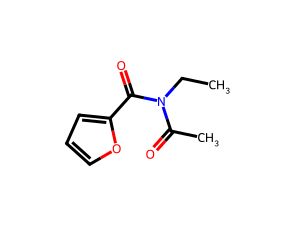 CCN(C(C)=O)C(=O)c1ccco1